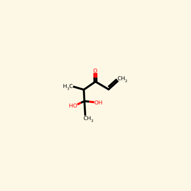 C=CC(=O)C(C)C(C)(O)O